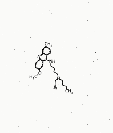 CCCCN(CCCCNc1c2ccc(C)cc2nc2ccc(OC)cc12)CC1CC1